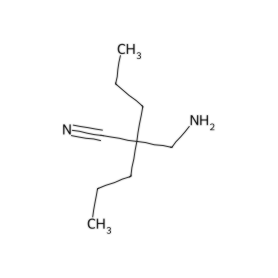 CCCC(C#N)(CN)CCC